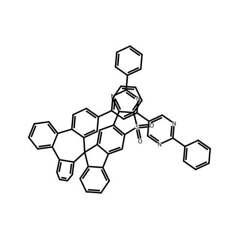 O=S1(=O)c2ccccc2-c2cc3c(cc21)-c1ccccc1C31c2ccccc2-c2ccccc2-c2ccc(-c3cc(-c4cnc(-c5ccccc5)nc4)nc(-c4ccccc4)n3)cc21